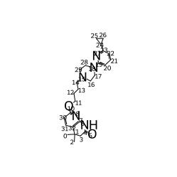 CC1(C)CC(=O)Nc2nc(OCCCCN3CCN(c4cccc(C5CC5)n4)CC3)ccc21